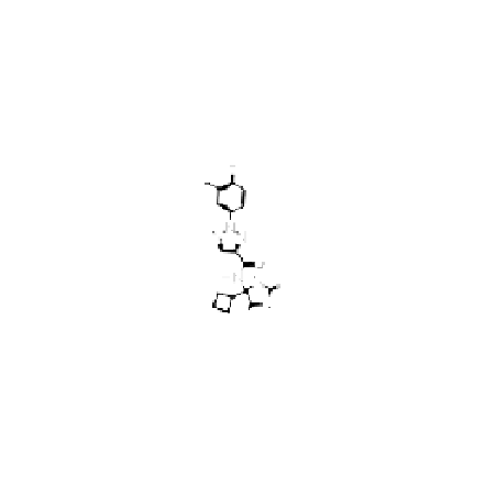 O=C1NC(=O)C(NC(=O)c2cnn(-c3ccc(F)c(Cl)c3)n2)(C2CCC2)N1